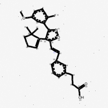 COc1ccc(F)c(-c2noc(/C=C/c3cccc(CCC(=O)O)c3)c2C2=CCCC2(C)C)c1